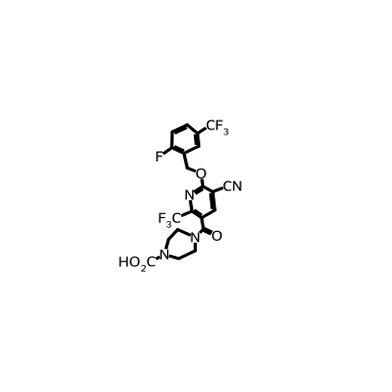 N#Cc1cc(C(=O)N2CCN(C(=O)O)CC2)c(C(F)(F)F)nc1OCc1cc(C(F)(F)F)ccc1F